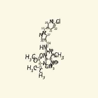 COC(=O)C(C(C)C)N(C)c1nc(NCc2cnn(Cc3ccc(Cl)nc3)c2)nc(C)c1[N+](=O)[O-]